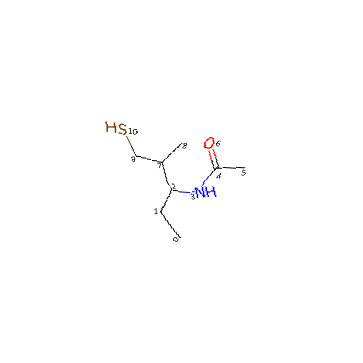 CCC(NC(C)=O)C(C)CS